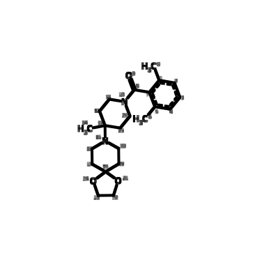 Cc1cccc(C)c1C(=O)N1CCC(C)(N2CCC3(CC2)OCCO3)CC1